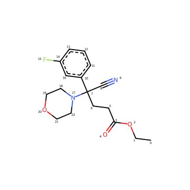 CCOC(=O)CCC(C#N)(c1cccc(F)c1)N1CCOCC1